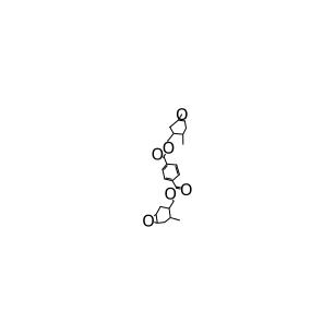 CC1CC2OC2CC1COC(=O)c1ccc(C(=O)OCC2CC3OC3CC2C)cc1